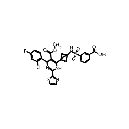 COC(=O)C1=C(C23CC(NS(=O)(=O)c4cccc(C(=O)O)c4)(C2)C3)NC(c2nccs2)=NC1c1ccc(F)cc1Cl